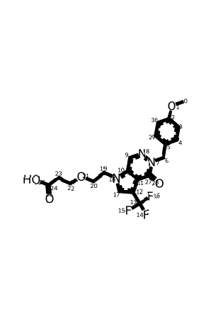 COc1ccc(Cn2ncc3c(c(C(F)(F)F)cn3CCOCCC(=O)O)c2=O)cc1